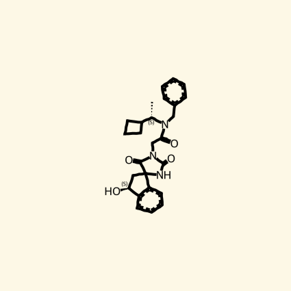 C[C@@H](C1CCC1)N(Cc1ccccc1)C(=O)CN1C(=O)NC2(C[C@H](O)c3ccccc32)C1=O